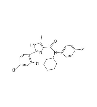 Cc1[nH]c(-c2ccc(Cl)cc2Cl)nc1C(=O)N(c1ccc(C(C)C)cc1)C1CCCCC1